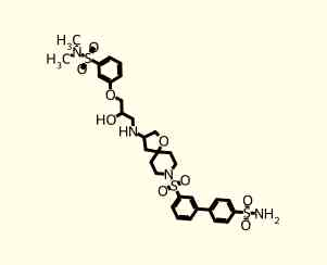 CN(C)S(=O)(=O)c1cccc(OCC(O)CNC2COC3(CCN(S(=O)(=O)c4cccc(-c5ccc(S(N)(=O)=O)cc5)c4)CC3)C2)c1